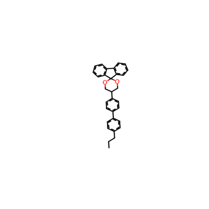 CCCc1ccc(-c2ccc(C3COC4(OC3)c3ccccc3-c3ccccc34)cc2)cc1